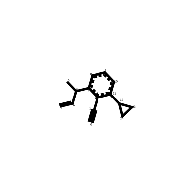 C#Cc1c([C](C)C=C)cccc1C1CC1